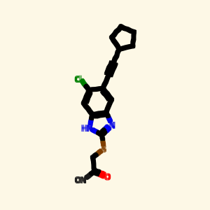 O=NC(=O)CSc1nc2cc(C#CC3CCCC3)c(Cl)cc2[nH]1